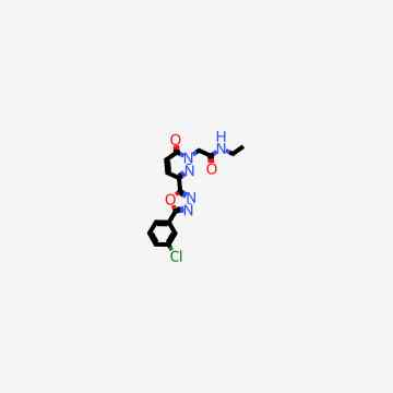 CCNC(=O)Cn1nc(-c2nnc(-c3cccc(Cl)c3)o2)ccc1=O